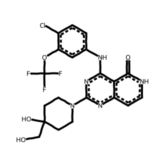 O=c1[nH]ccc2nc(N3CCC(O)(CO)CC3)nc(Nc3ccc(Cl)c(OC(F)(F)F)c3)c12